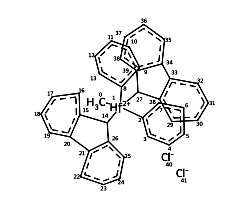 [CH3][Hf+2]([c]1ccccc1)([c]1ccccc1)([CH]1c2ccccc2-c2ccccc21)[CH]1c2ccccc2-c2ccccc21.[Cl-].[Cl-]